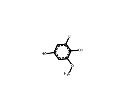 COc1cc(O)cc(Cl)c1O